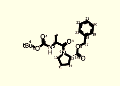 CC(NC(=O)OC(C)(C)C)C(=O)N1CCC[C@H]1C(=O)OCc1ccccc1